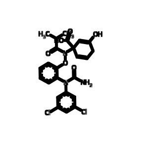 CC(C)C(=O)N(Oc1ccccc1N(C(N)=O)c1cc(Cl)cc(Cl)c1)C1(C(=O)O)C=CCC(O)=C1